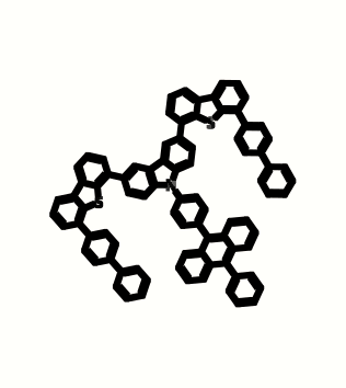 c1ccc(-c2ccc(-c3cccc4c3sc3c(-c5ccc6c(c5)c5cc(-c7cccc8c7sc7c(-c9ccc(-c%10ccccc%10)cc9)cccc78)ccc5n6-c5ccc(-c6c7ccccc7c(-c7ccccc7)c7ccccc67)cc5)cccc34)cc2)cc1